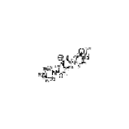 Cc1nc2ccc(-c3cc(=O)n4cc(N5CCN(C)CC5)ccc4c3)cc2o1